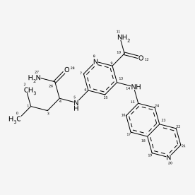 CC(C)CC(Nc1cnc(C(N)=O)c(Nc2ccc3cnccc3c2)c1)C(N)=O